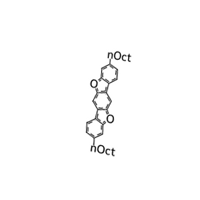 CCCCCCCCc1ccc2c(c1)oc1cc3c(cc12)oc1cc(CCCCCCCC)ccc13